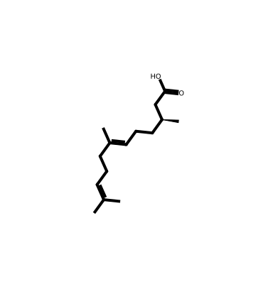 CC(C)=CCCC(C)=CCC[C@H](C)CC(=O)O